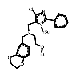 CCCCn1c(-c2ccccc2)nc(Cl)c1CN(CCOCC)Cc1ccc2c(c1)OCCO2